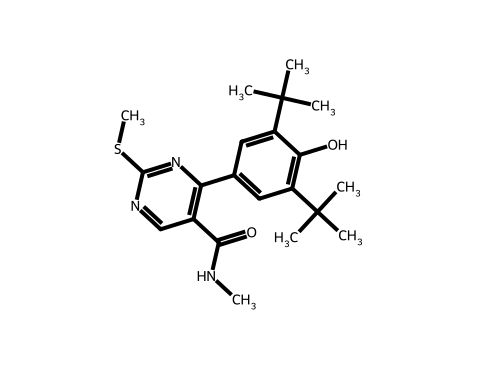 CNC(=O)c1cnc(SC)nc1-c1cc(C(C)(C)C)c(O)c(C(C)(C)C)c1